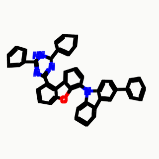 c1ccc(C2=NC(c3cccc4oc5c(-n6c7ccccc7c7cc(-c8ccccc8)ccc76)cccc5c34)=NC(c3ccccc3)N2)cc1